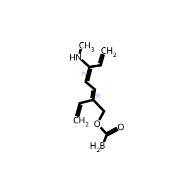 BC(=O)OC/C(C=C)=C/C=C(\C=C)NC